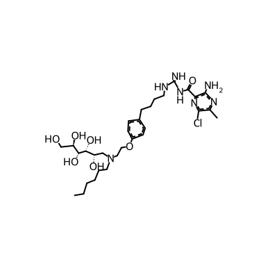 CCCCCCN(CCOc1ccc(CCCCNC(=N)NC(=O)c2nc(Cl)c(C)nc2N)cc1)C[C@H](O)[C@@H](O)[C@H](O)[C@H](O)CO